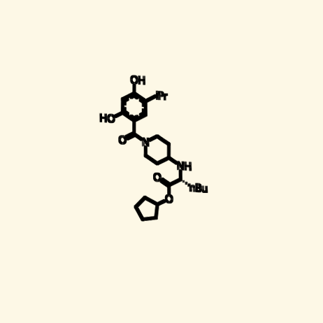 CCCC[C@@H](NC1CCN(C(=O)c2cc(C(C)C)c(O)cc2O)CC1)C(=O)OC1CCCC1